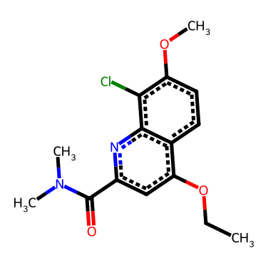 CCOc1cc(C(=O)N(C)C)nc2c(Cl)c(OC)ccc12